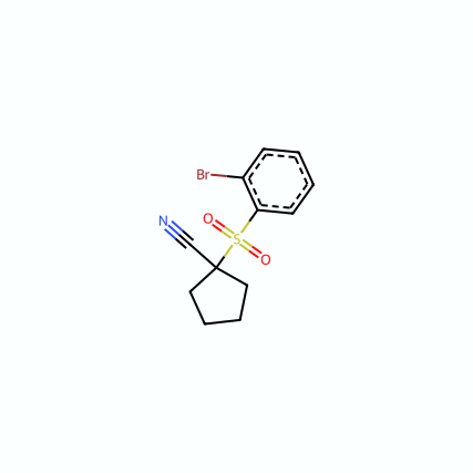 N#CC1(S(=O)(=O)c2ccccc2Br)CCCC1